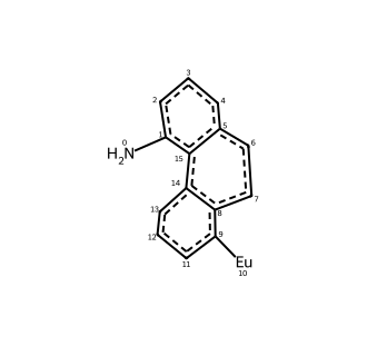 Nc1cccc2ccc3[c]([Eu])cccc3c12